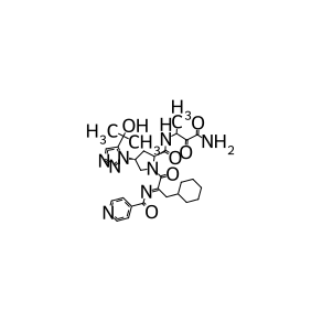 CC(NC(=O)[C@@H]1C[C@H](n2nncc2C(C)(C)O)CN1C(=O)/C(CC1CCCCC1)=N/C(=O)c1ccncc1)C(=O)C(N)=O